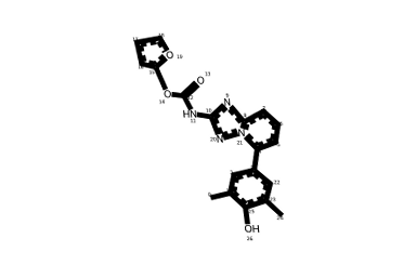 Cc1cc(-c2cccc3nc(NC(=O)Oc4ccco4)nn23)cc(C)c1O